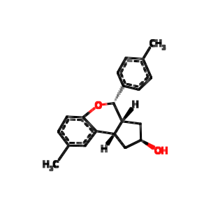 Cc1ccc([C@H]2Oc3ccc(C)cc3[C@H]3C[C@H](O)C[C@H]32)cc1